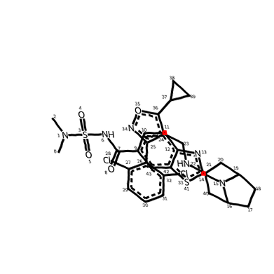 CN(C)S(=O)(=O)NC(=O)c1ccc2nc(N3C4CCC3CC(NCc3c(-c5c(Cl)cccc5Cl)noc3C3CC3)C4)sc2c1